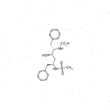 CS(=O)(=O)N[C@@H](Cc1ccccc1)C[C@@H](O)[C@H](Cc1ccccc1)NC(=O)O